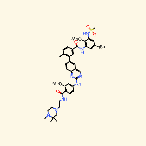 COc1cc(Nc2ncc3cc(-c4cc(C(=O)Nc5cc(C(C)(C)C)cc(NS(C)(=O)=O)c5OC)ccc4C)ccc3n2)ccc1C(=O)NCCN1CCN(C)C(C)(C)C1